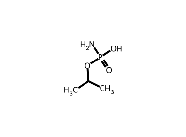 CC(C)OP(N)(=O)O